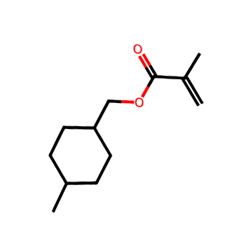 C=C(C)C(=O)OCC1CCC(C)CC1